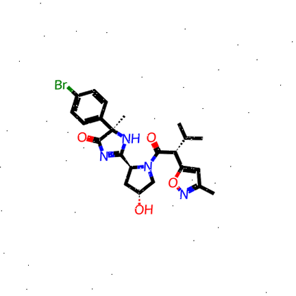 Cc1cc([C@H](C(=O)N2C[C@H](O)C[C@H]2C2=NC(=O)[C@@](C)(c3ccc(Br)cc3)N2)C(C)C)on1